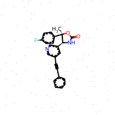 C[C@]1(c2ccc(F)cc2)OC(=O)N[C@H]1c1cncc(C#Cc2ccccc2)c1